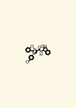 O=C(NC1c2ccccc2C[C@H]1O)c1cn(-c2ccc(Cl)cc2)c(-c2ccccc2Cl)n1